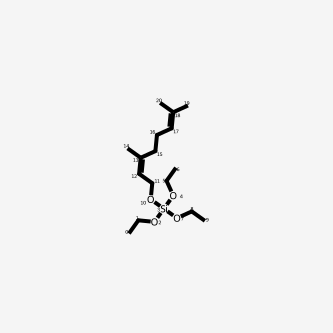 CCO[Si](OCC)(OCC)OCC=C(C)CCC=C(C)C